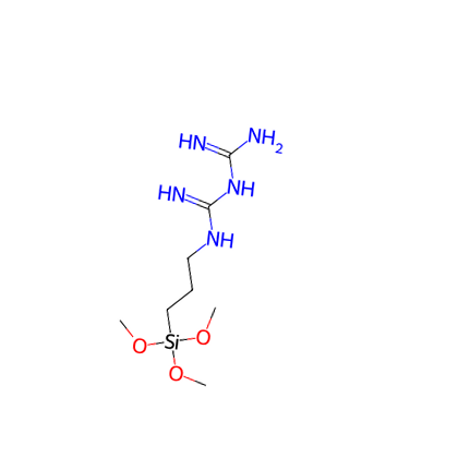 CO[Si](CCCNC(=N)NC(=N)N)(OC)OC